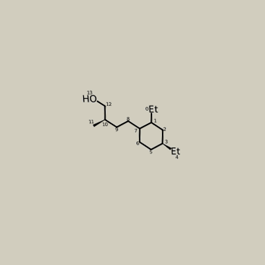 CCC1C[C@@H](CC)CCC1CC[C@@H](C)CO